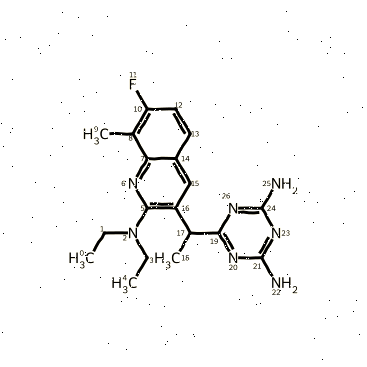 CCN(CC)c1nc2c(C)c(F)ccc2cc1C(C)c1nc(N)nc(N)n1